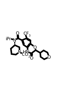 CC(C)N(C(=O)c1cc2c(cc1C(F)(F)F)OC(C1CCOCC1)C(=O)N2)[C@@H]1CCCN(C(=O)O)C1